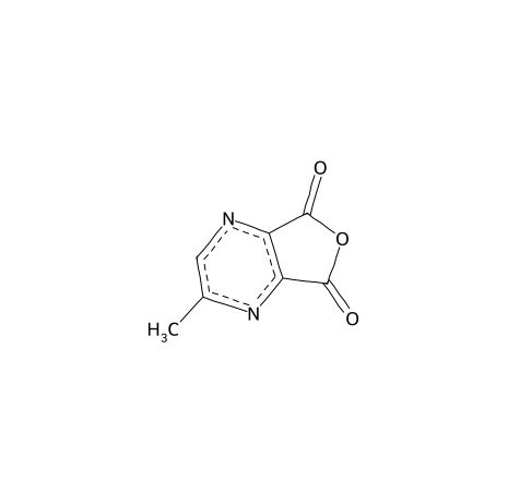 Cc1cnc2c(n1)C(=O)OC2=O